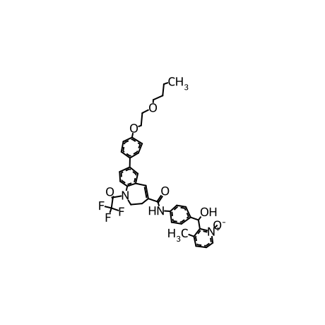 CCCCOCCOc1ccc(-c2ccc3c(c2)C=C(C(=O)Nc2ccc(C(O)c4c(C)ccc[n+]4[O-])cc2)CCN3C(=O)C(F)(F)F)cc1